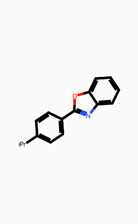 CC(C)c1ccc(-c2nc3ccccc3o2)cc1